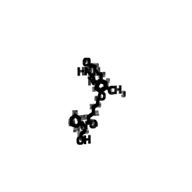 Cc1cc2c(cc1OCCCCCC(=O)N(CCO)C1CCCCC1)N=C1NC(=O)CN1C2